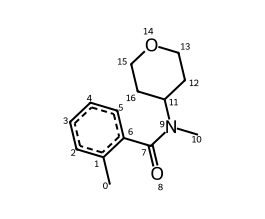 Cc1ccccc1C(=O)N(C)C1CCOCC1